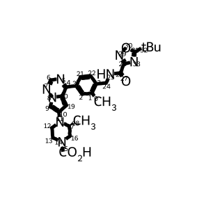 Cc1cc(-c2ncnn3cc(N4CCN(C(=O)O)C[C@@H]4C)cc23)ccc1CNC(=O)c1noc(C(C)(C)C)n1